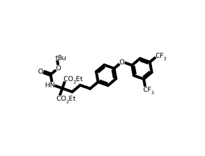 CCOC(=O)C(CCCc1ccc(Oc2cc(C(F)(F)F)cc(C(F)(F)F)c2)cc1)(NC(=O)OC(C)(C)C)C(=O)OCC